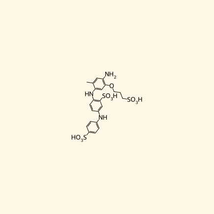 Cc1cc(N)c(OCCCS(=O)(=O)O)cc1Nc1ccc(Nc2ccc(S(=O)(=O)O)cc2)cc1S(=O)(=O)O